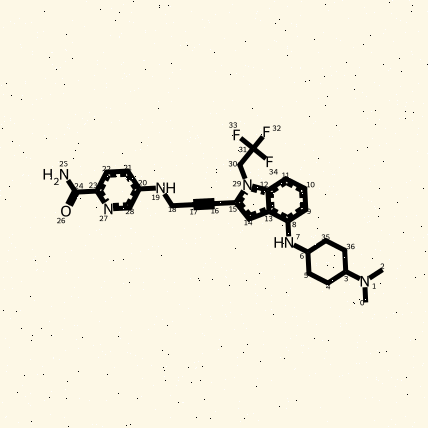 CN(C)C1CCC(Nc2cccc3c2cc(C#CCNc2ccc(C(N)=O)nc2)n3CC(F)(F)F)CC1